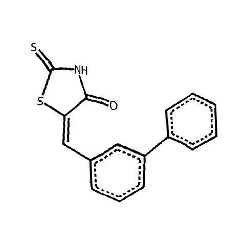 O=C1NC(=S)SC1=Cc1cccc(-c2ccccc2)c1